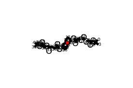 CC(C)(C)OC(=O)COC(=O)CCC(=O)OC1CC2CC1C1C3CC(OC(=O)CCC(=O)OCC(=O)OC(C)(C)C)C(C3)C21